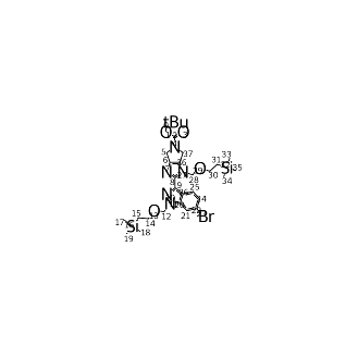 CC(C)(C)OC(=O)N1Cc2nc(-c3nn(COCC[Si](C)(C)C)c4cc(Br)ccc34)n(COCC[Si](C)(C)C)c2C1